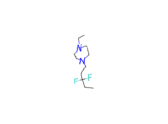 CCN1CCN(CCC(F)(F)CC)CC1